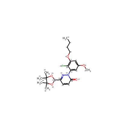 CCCCOc1cc(OC)cc(-n2nc(B3OC(C)(C)C(C)(C)O3)ccc2=O)c1F